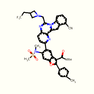 CNC(=O)c1c(-c2ccc(C)cc2)oc2cc(N(C)S(C)(=O)=O)c(-c3ccc4nc(CN5CC(CC(F)(F)F)C5)n5c6cccc(C#N)c6cc5c4n3)cc12